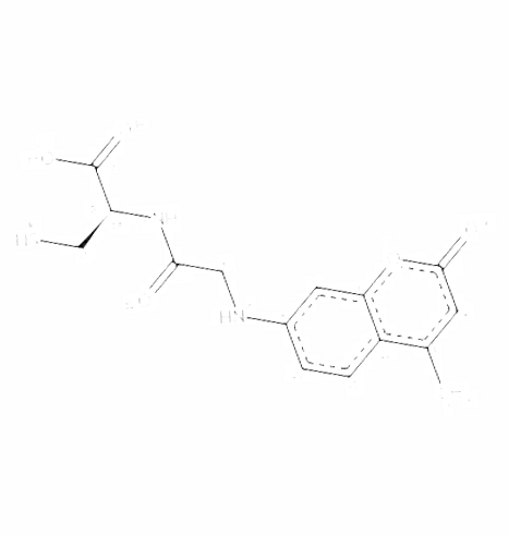 Cc1cc(=O)oc2cc(NCC(=O)N[C@@H](CS)C(=O)O)ccc12